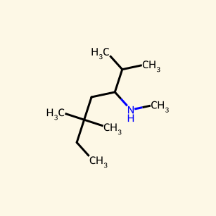 CCC(C)(C)CC(NC)C(C)C